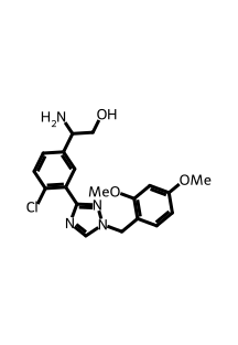 COc1ccc(Cn2cnc(-c3cc(C(N)CO)ccc3Cl)n2)c(OC)c1